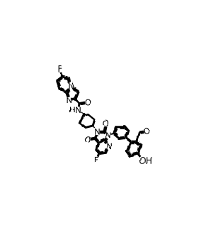 O=Cc1cc(O)ccc1-c1cccc(-n2c(=O)n([C@H]3CC[C@@H](NC(=O)c4cn5cc(F)ccc5n4)CC3)c(=O)c3cc(F)cnc32)c1